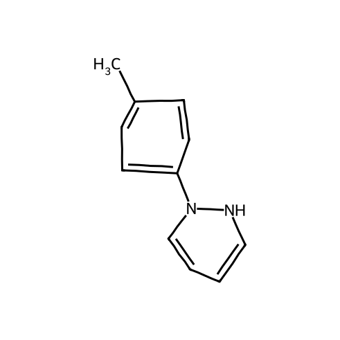 Cc1ccc(N2C=CC=CN2)cc1